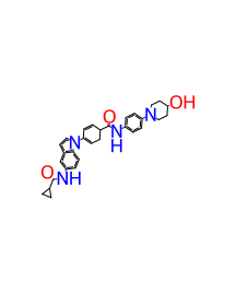 O=C(Nc1ccc(N2CCC(O)CC2)cc1)C1C=CC(n2ccc3cc(NC(=O)C4CC4)ccc32)=CC1